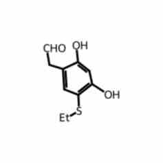 CCSc1cc(CC=O)c(O)cc1O